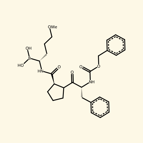 COCCC[C@H](NC(=O)[C@@H]1CCCC1C(=O)[C@@H](Cc1ccccc1)NC(=O)OCc1ccccc1)B(O)O